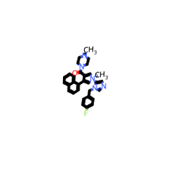 CN1CCN(C(=O)C2=C[N+](C)(c3cncn3Cc3ccc(F)cc3)C=C2c2cccc3ccccc23)CC1